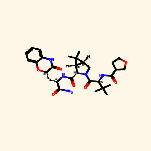 CC(C)(C)[C@H](NC(=O)C1CCOC1)C(=O)N1C[C@H]2[C@@H]([C@H]1C(=O)N[C@@H](C[C@@H]1Oc3ccccc3NC1=O)C(N)=O)C2(C)C